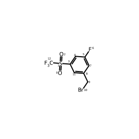 O=S(=O)(c1cc(F)cc(CBr)c1)C(F)(F)F